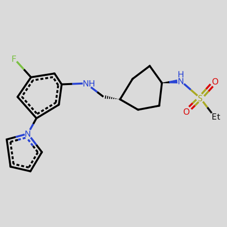 CCS(=O)(=O)N[C@H]1CC[C@H](CNc2cc(F)cc(-n3cccc3)c2)CC1